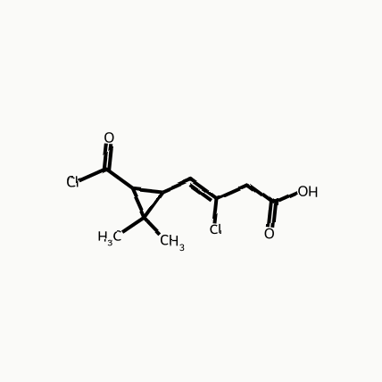 CC1(C)C(C=C(Cl)CC(=O)O)C1C(=O)Cl